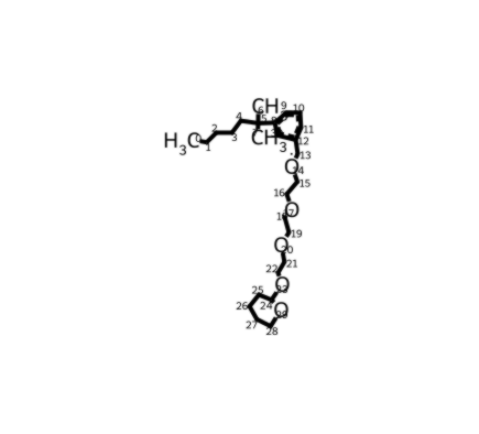 CCCCCC(C)(C)c1cccc([CH]OCCOCCOCCOC2CCCCO2)c1